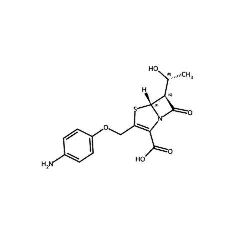 C[C@@H](O)[C@H]1C(=O)N2C(C(=O)O)=C(COc3ccc(N)cc3)S[C@H]12